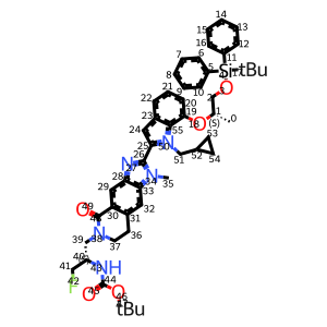 C[C@@H](CO[Si](c1ccccc1)(c1ccccc1)C(C)(C)C)Oc1cccc2cc(-c3nc4cc5c(cc4n3C)CCN(C[C@@H](CF)NC(=O)OC(C)(C)C)C5=O)n(CC3CC3)c12